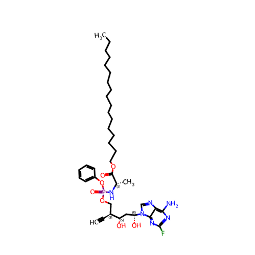 C#C[C@@H](COP(=O)(N[C@@H](C)C(=O)OCCCCCCCCCCCCCCCCC)Oc1ccccc1)[C@@H](O)C[C@@H](O)n1cnc2c(N)nc(F)nc21